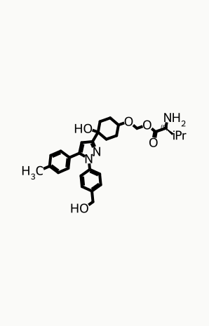 Cc1ccc(-c2cc(C3(O)CCC(OCOC(=O)[C@@H](N)C(C)C)CC3)nn2-c2ccc(CO)cc2)cc1